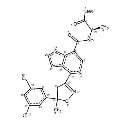 CNC(=O)[C@@H](C)NC(=O)c1cnc(C2=NOC(c3cc(Cl)cc(Cl)c3)(C(F)(F)F)C2)c2ccsc12